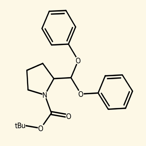 CC(C)(C)OC(=O)N1CCCC1C(Oc1ccccc1)Oc1ccccc1